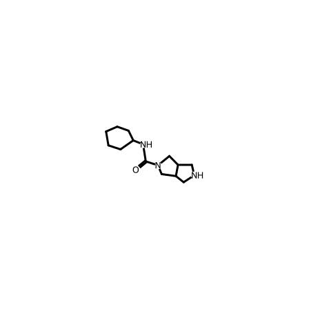 O=C(NC1CCCCC1)N1CC2CNCC2C1